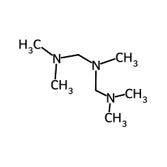 CN(C)CN(C)CN(C)C